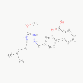 COc1nc(CCC(C)C)n(Cc2ccc(-c3ccccc3C(=O)O)cc2)n1